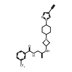 C#Cc1cnn(C2CCC(N3CC(NC(=C)CNC(=O)c4cccc(C(F)(F)F)c4)C3)CC2)c1